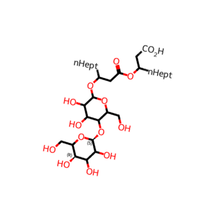 CCCCCCCC(CC(=O)O)OC(=O)CC(CCCCCCC)OC1OC(CO)C(O[C@@H]2OC(CO)[C@H](O)C(O)C2O)C(O)C1O